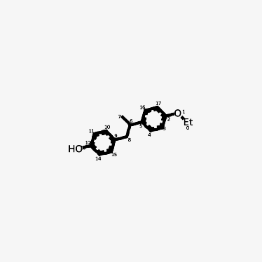 CCOc1ccc(C(C)Cc2ccc(O)cc2)cc1